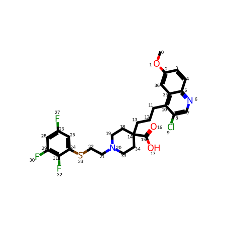 COc1ccc2ncc(Cl)c(CCCC3(C(=O)O)CCN(CCSc4cc(F)cc(F)c4F)CC3)c2c1